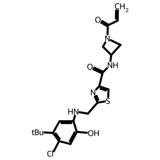 C=CC(=O)N1CC(NC(=O)c2csc(CNc3cc(C(C)(C)C)c(Cl)cc3O)n2)C1